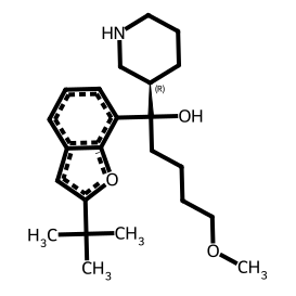 COCCCCC(O)(c1cccc2cc(C(C)(C)C)oc12)[C@@H]1CCCNC1